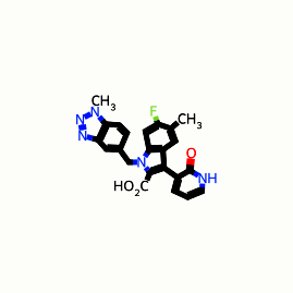 Cc1cc2c(-c3ccc[nH]c3=O)c(C(=O)O)n(Cc3ccc4c(c3)nnn4C)c2cc1F